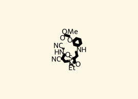 CCN1C(=O)C(CCNc2cccc(OCC(=O)OC)c2)SC1CC(C#N)C(=O)NCC#N